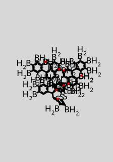 Bc1cc2c(cc1B)C13c4cc(c(B)c(B)c4Sc4c(B)c(B)c(B)c(B)c41)Sc1cc3c-2c(N(c2c(B)c(B)c(-c3c(B)c(B)c(B)c(B)c3B)c3c(B)c(B)c(B)c(B)c23)c2c(B)c(B)c(-c3c(B)c(B)c(B)c(B)c3B)c3c(B)c(B)c(B)c(B)c23)c1B